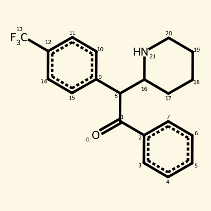 O=C(c1ccccc1)C(c1ccc(C(F)(F)F)cc1)C1CCCCN1